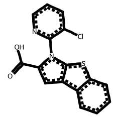 O=C(O)c1cc2c3ccccc3sc2n1-c1ncccc1Cl